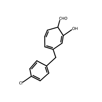 O=CC1C=CC=C(Cc2ccc(Cl)cc2)C=C1O